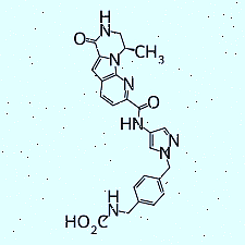 C[C@@H]1CNC(=O)c2cc3ccc(C(=O)Nc4cnn(Cc5ccc(CNC(=O)O)cc5)c4)nc3n21